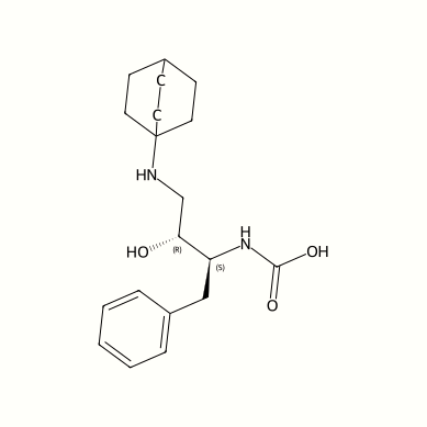 O=C(O)N[C@@H](Cc1ccccc1)[C@H](O)CNC12CCC(CC1)CC2